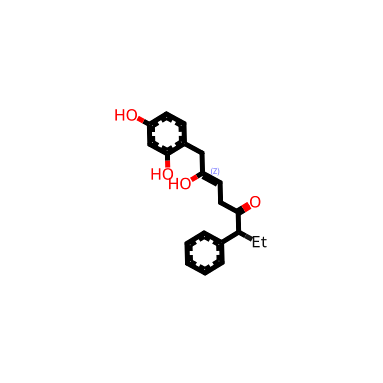 CCC(C(=O)C/C=C(\O)Cc1ccc(O)cc1O)c1ccccc1